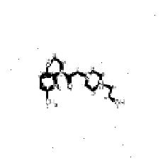 Cc1ccc2c(n1)N(C(=O)CN1CCN(CCO)CC1)CCO2